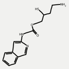 NCCC(S)COC(=O)Nc1cc2ccccc2cn1